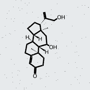 C=C(CO)[C@H]1CC[C@H]2[C@@H]3CCC4=CC(=O)CC[C@]4(C)[C@H]3C(O)C[C@]12C